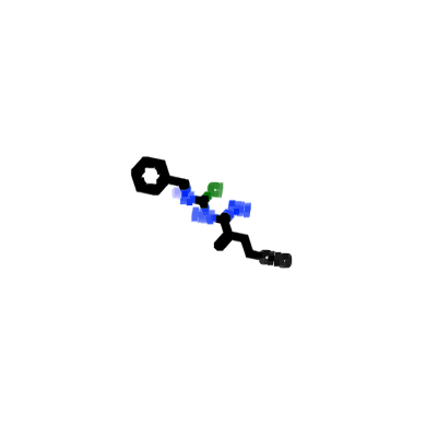 C=C(CCC=O)C(=N)NC(Cl)/N=C/c1ccccc1